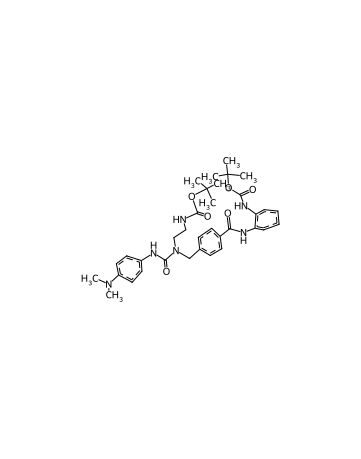 CN(C)c1ccc(NC(=O)N(CCNC(=O)OC(C)(C)C)Cc2ccc(C(=O)Nc3ccccc3NC(=O)OC(C)(C)C)cc2)cc1